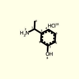 CC(N)c1cccc(O)c1.Cl